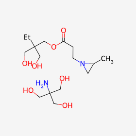 CCC(CO)(CO)COC(=O)CCN1CC1C.NC(CO)(CO)CO